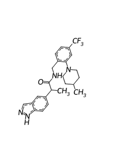 CC1CCN(c2cc(C(F)(F)F)ccc2CNC(=O)C(C)c2ccc3[nH]ncc3c2)CC1